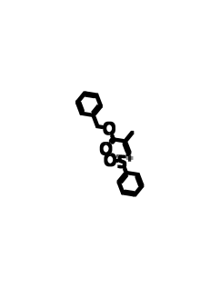 CC(=C[S+]([O-])c1ccccc1)C(=O)OCc1ccccc1